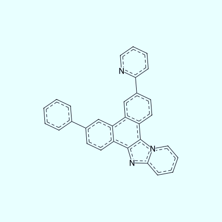 c1ccc(-c2ccc3c(c2)c2cc(-c4ccccn4)ccc2c2c3nc3ccccn32)cc1